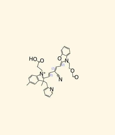 Cc1ccc2c(c1)C(C)(Cc1ccccn1)C(/C=C/C(C#N)=C/C=C1\Oc3ccccc3N1CCOC=O)=[N+]2CCC(=O)O